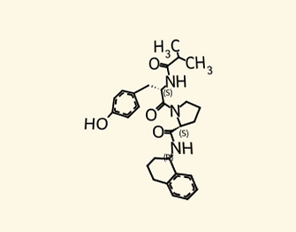 CC(C)C(=O)N[C@@H](Cc1ccc(O)cc1)C(=O)N1CCC[C@H]1C(=O)N[C@@H]1CCCc2ccccc21